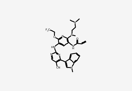 C=CC(=O)Nc1cc(Nc2ncc(C#N)c(-c3cn(C)c4ccccc34)n2)c(OCC(F)(F)F)nc1N(C)CCN(C)C